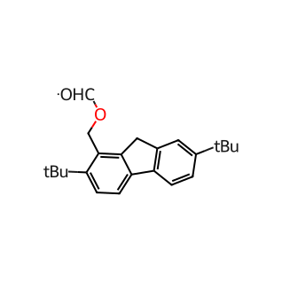 CC(C)(C)c1ccc2c(c1)Cc1c-2ccc(C(C)(C)C)c1CO[C]=O